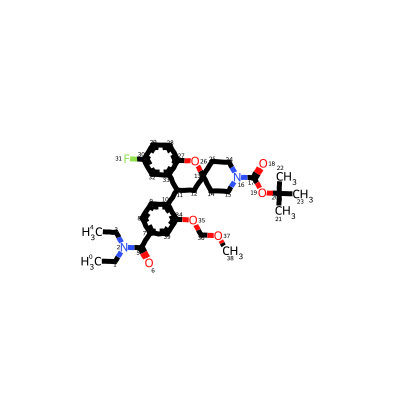 CCN(CC)C(=O)c1ccc(C2CC3(CCN(C(=O)OC(C)(C)C)CC3)Oc3ccc(F)cc32)c(OCOC)c1